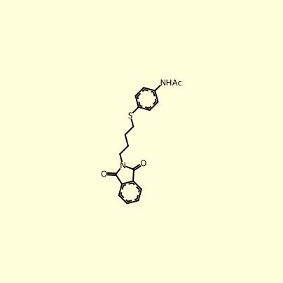 CC(=O)Nc1ccc(SCCCCN2C(=O)c3ccccc3C2=O)cc1